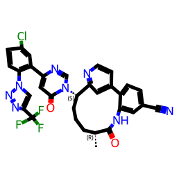 C[C@@H]1CCC[C@H](n2cnc(-c3cc(Cl)ccc3-n3cc(C(F)(F)F)nn3)cc2=O)c2cc(ccn2)-c2ccc(C#N)cc2NC1=O